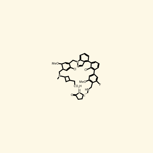 COc1cc(-c2cccc(-c3cccc4c3cnn4CC3=CC(OC)C(CN(C)C4CC(CC(=O)O)C4)C=C3Cl)c2Cl)cc(F)c1CNC[C@@H]1CCC(=O)N1